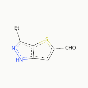 CCc1n[nH]c2cc(C=O)sc12